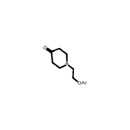 CC(=O)OCCN1CCC(=O)CC1